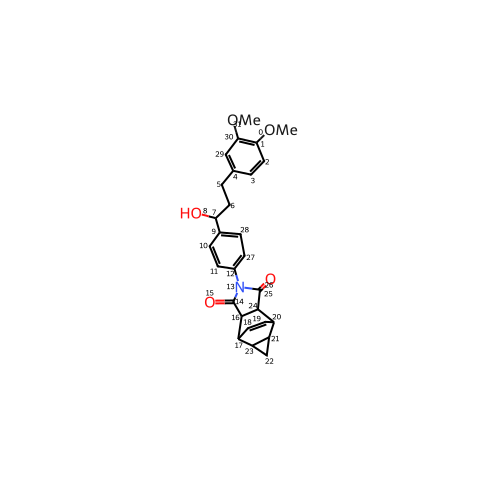 COc1ccc(CCC(O)c2ccc(N3C(=O)C4C5C=CC(C6CC56)C4C3=O)cc2)cc1OC